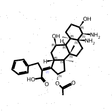 CC(=O)O[C@H]1C[C@@]2(C)[C@@H](C[C@@H](O)[C@@H]3[C@]2(C)CC[C@@]2(N)[C@H](N)[C@H](O)CC[C@]32C)/C1=C(\Cc1ccccc1)C(=O)O